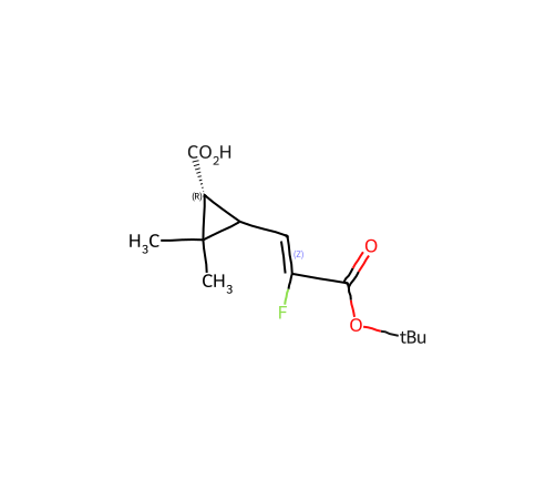 CC(C)(C)OC(=O)/C(F)=C/C1[C@@H](C(=O)O)C1(C)C